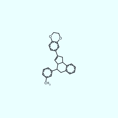 Cc1cccc(C2Cc3ccccc3C3CC(c4ccc5c(c4)OCCO5)=CC23)c1